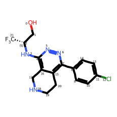 OC[C@H](Nc1nnc(-c2ccc(Cl)cc2)c2c1CNCC2)C(F)(F)F